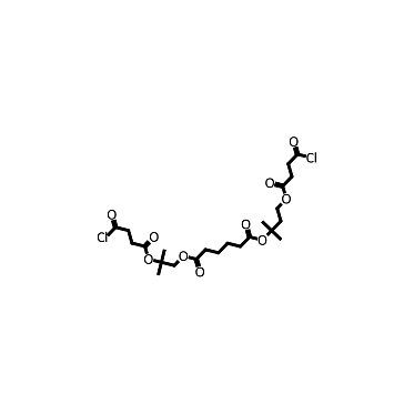 CC(C)(CCOC(=O)CCC(=O)Cl)OC(=O)CCCCC(=O)OCC(C)(C)OC(=O)CCC(=O)Cl